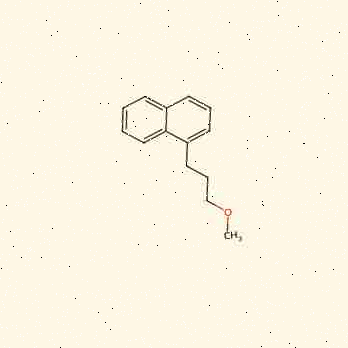 CO[CH]CCc1cccc2ccccc12